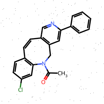 CC(=O)N1Cc2cc(-c3ccccc3)ncc2C=Cc2ccc(Cl)cc21